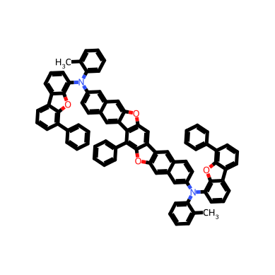 Cc1ccccc1N(c1ccc2cc3c(cc2c1)oc1c(-c2ccccc2)c2c(cc13)oc1cc3cc(N(c4ccccc4C)c4cccc5c4oc4c(-c6ccccc6)cccc45)ccc3cc12)c1cccc2c1oc1c(-c3ccccc3)cccc12